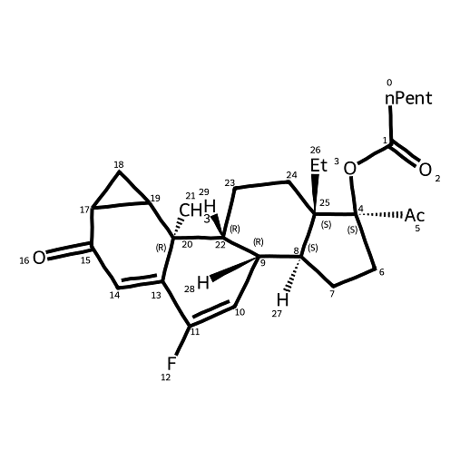 CCCCCC(=O)O[C@@]1(C(C)=O)CC[C@H]2[C@@H]3C=C(F)C4=CC(=O)C5CC5[C@@]4(C)[C@@H]3CC[C@@]21CC